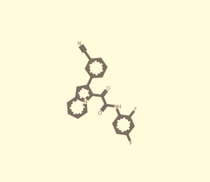 N#Cc1cccc(-c2cc3ccccn3c2C(=O)C(=O)Nc2ccc(F)cc2F)c1